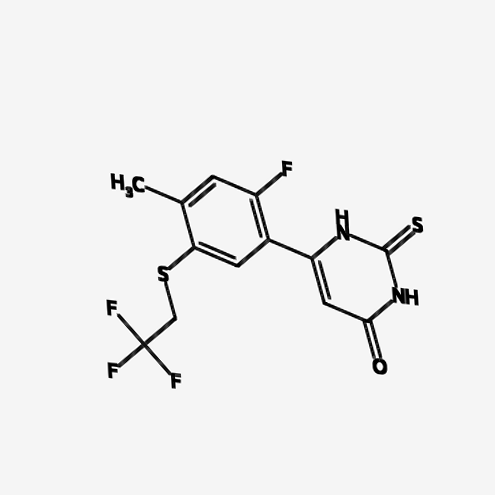 Cc1cc(F)c(-c2cc(=O)[nH]c(=S)[nH]2)cc1SCC(F)(F)F